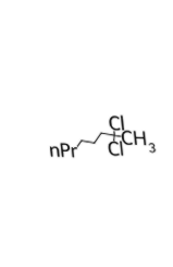 CCCCCCC(C)(Cl)Cl